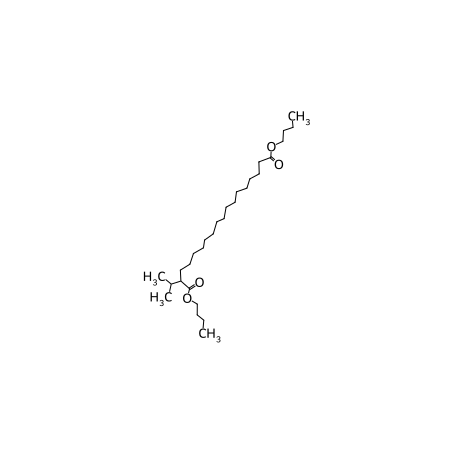 CCCCOC(=O)CCCCCCCCCCCCCCCC(C(=O)OCCCC)C(C)C